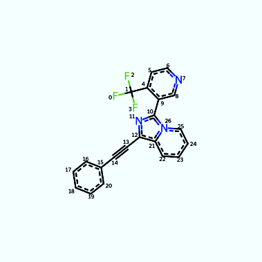 FC(F)(F)c1ccncc1-c1nc(C#Cc2ccccc2)c2ccccn12